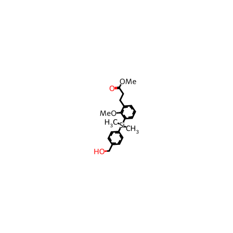 COC(=O)CCc1cccc([Si](C)(C)c2ccc(CO)cc2)c1OC